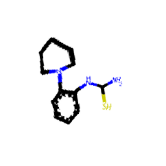 NC(S)Nc1ccccc1N1CCCCC1